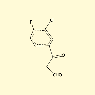 O=CCC(=O)c1ccc(F)c(Cl)c1